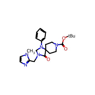 Cn1ccnc1CN1CN(c2ccccc2)C2(CCN(C(=O)OC(C)(C)C)CC2)C1=O